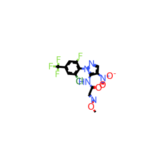 CON=CC(=O)Nc1c([N+](=O)[O-])cnn1-c1c(F)cc(C(F)(F)F)cc1Cl